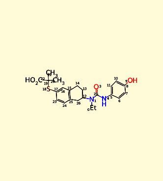 CCN(C(=O)Nc1ccc(O)cc1)C1CCc2cc(SC(C)(C)C(=O)O)ccc2C1